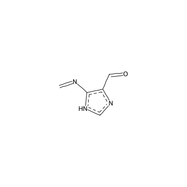 C=Nc1[nH]cnc1C=O